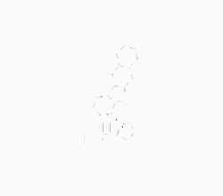 Cc1ccc2c(oc3cc4ccccc4cc32)c1-n1cccc1C